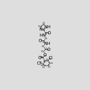 O=C(CNC(=O)CNC(=O)c1ncc[nH]1)COC(=O)c1c(Cl)cccc1Cl